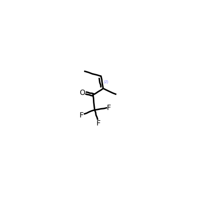 C/C=C(/C)C(=O)C(F)(F)F